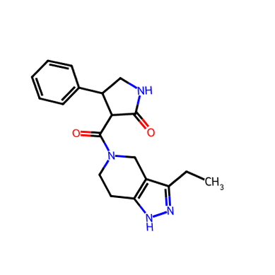 CCc1n[nH]c2c1CN(C(=O)C1C(=O)NCC1c1ccccc1)CC2